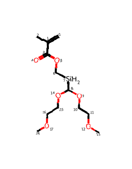 C=C(C)C(=O)OC[SiH2]C(OCCOC)OCCOC